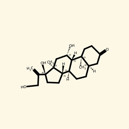 C=C(CO)[C@@]1(O)CC[C@H]2[C@@H]3CC[C@@H]4CC(=O)CC[C@]4(C)[C@H]3[C@@H](O)C[C@@]21C